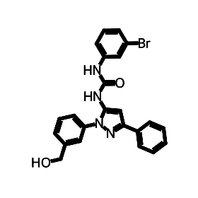 O=C(Nc1cccc(Br)c1)Nc1cc(-c2ccccc2)nn1-c1cccc(CO)c1